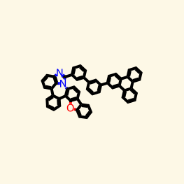 c1cc(-c2cccc(-c3nc4cccc5c4n3-c3ccc4c(oc6ccccc64)c3-c3ccccc3-5)c2)cc(-c2ccc3c4ccccc4c4ccccc4c3c2)c1